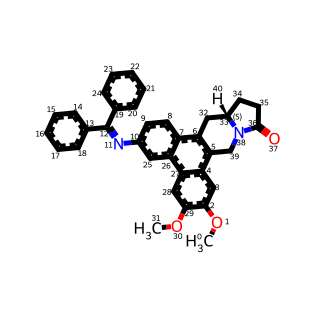 COc1cc2c3c(c4ccc(N=C(c5ccccc5)c5ccccc5)cc4c2cc1OC)C[C@@H]1CCC(=O)N1C3